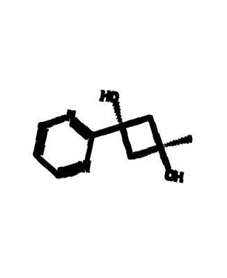 C[C@]1(O)C[C@@](O)(c2ncccn2)C1